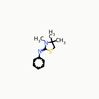 CN1C(=Nc2ccccc2)SCC1(C)C